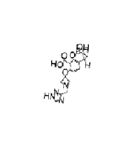 O=C(O)c1c(OC2CN(Cc3nc[nH]n3)C2)ccc2c1OB(O)[C@@H]1C[C@H]21